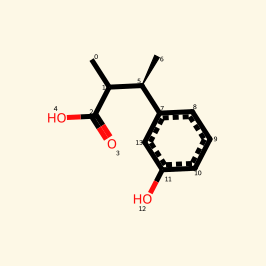 CC(C(=O)O)[C@@H](C)c1cccc(O)c1